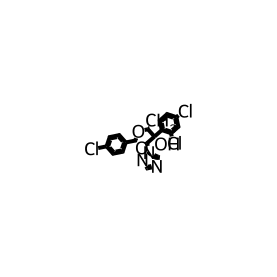 C[C@@H](OC(=O)c1ccc(Cl)cc1)C(O)(Cn1cncn1)c1ccc(Cl)cc1Cl